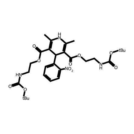 CC1=C(C(=O)OCCNC(=O)OC(C)(C)C)C(c2ccccc2[N+](=O)[O-])C(C(=O)OCCNC(=O)OC(C)(C)C)=C(C)N1